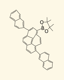 CC1(C)OB(c2cc(-c3ccc4ccccc4c3)c3ccc4ccc(-c5ccc6ccccc6c5)c5ccc2c3c45)OC1(C)C